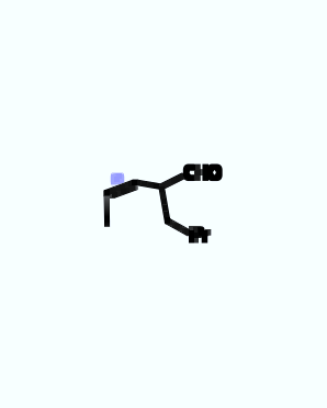 C/C=C\C(C=O)CC(C)C